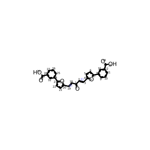 O=C(/C=C/c1ccc(-c2cccc(C(=O)O)c2)o1)/C=C/c1ccc(-c2cccc(C(=O)O)c2)o1